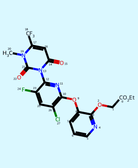 CCOC(=O)COc1ncccc1Oc1nc(-n2c(=O)cc(C(F)(F)F)n(C)c2=O)c(F)cc1Cl